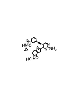 Cl.Cn1c(-c2nc(N)ncc2C#Cc2cccc(S(=O)(=O)NC3CC3)c2)cc2c1CCNC2=O